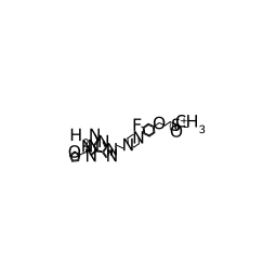 C[S@+]([O-])CCOc1ccc(N2CCN(CCn3ncc4c3nc(N)n3nc(-c5ccco5)nc43)CC2)c(F)c1